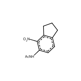 CC(=O)Nc1ccc2c(c1[N+](=O)[O-])CCC2